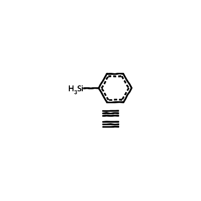 C#C.C#C.[SiH3]c1ccccc1